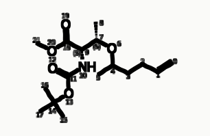 C=CCCC(C)O[C@@H](C)[C@H](NC(=O)OC(C)(C)C)C(=O)OC